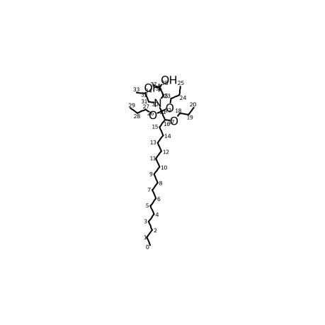 CCCCCCCCCCCCCCCCC(OCCC)C(OCCC)(OCCC)N(CC(C)O)CC(C)O